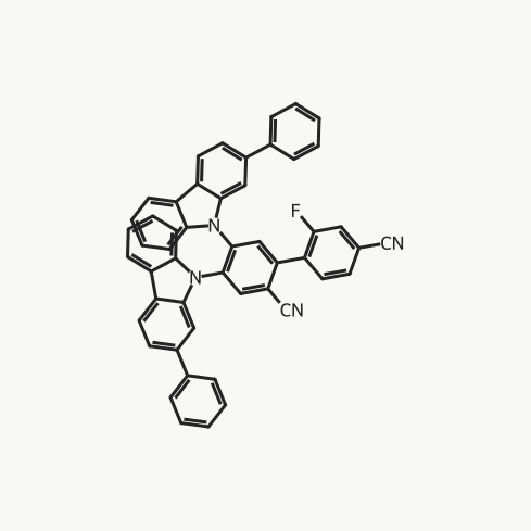 N#Cc1ccc(-c2cc(-n3c4ccccc4c4ccc(-c5ccccc5)cc43)c(-n3c4ccccc4c4ccc(-c5ccccc5)cc43)cc2C#N)c(F)c1